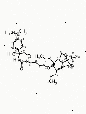 CCCc1cc2c(c(CCC)c1OCCCCN1OCC(C)(c3ccc(C(C)C)cc3)NC1=O)COC2(C(F)(F)F)C(F)(F)F